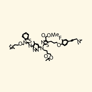 COC(=O)c1nc(N(CCC2COC(C)(C)O2)c2cc(C)c(/N=c3\sc4ccccc4n3COCC[Si](C)(C)C)nn2)sc1CCCOc1ccc(C#CCN(C)C)cc1F